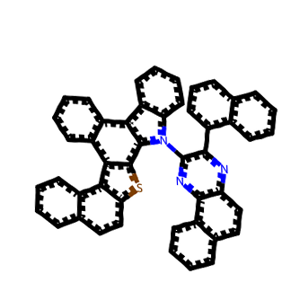 c1ccc2c(-c3nc4ccc5ccccc5c4nc3-n3c4ccccc4c4c5ccccc5c5c(sc6ccc7ccccc7c65)c43)cccc2c1